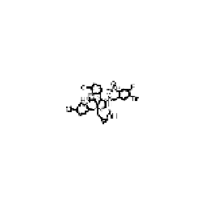 O=C1Nc2cc(Cl)ccc2C[C@@]12[C@@H](c1cccc(Cl)c1F)[C@H](NCc1cc(Br)c(F)cc1[N+](=O)[O-])[C@H](CO)N2CC1CC1